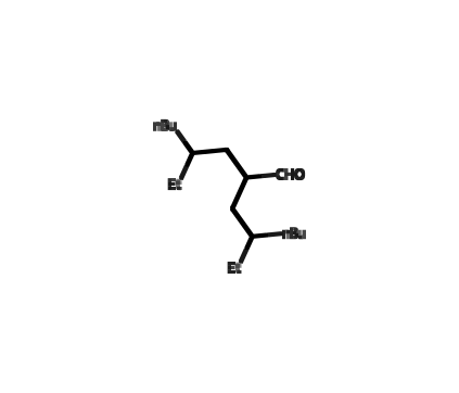 CCCCC(CC)CC(C=O)CC(CC)CCCC